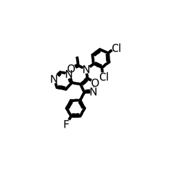 CC(=O)N(c1ccc(Cl)cc1Cl)c1onc(-c2ccc(F)cc2)c1-c1ccncn1